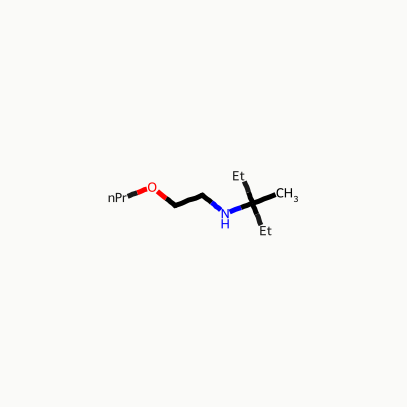 CCCOCCNC(C)(CC)CC